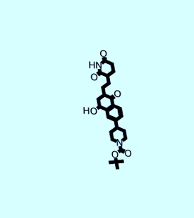 CC(C)(C)OC(=O)N1CCC(c2ccc3c(c2)C(O)CC(CCC2CCC(=O)NC2=O)C3=O)CC1